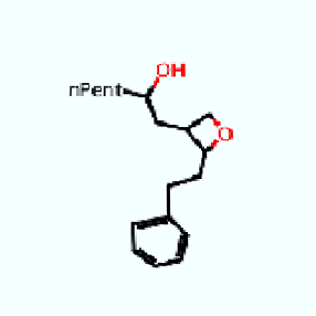 CCCCCC(O)CC1COC1CCc1ccccc1